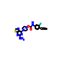 COc1ccc(NC(=O)ON2CCN(c3nc(N)nc4scnc34)CC2)cc1F